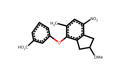 COC1Cc2c([N+](=O)[O-])cc(C)c(Oc3cccc(C(=O)O)c3)c2C1